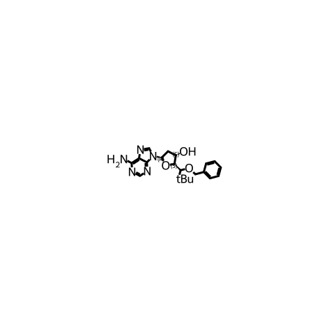 CC(C)(C)C(OCc1ccccc1)[C@H]1O[C@@H](n2cnc3c(N)ncnc32)C[C@@H]1O